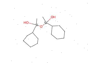 C[Si](O)(O[Si](C)(O)C1CCCCC1)C1CCCCC1